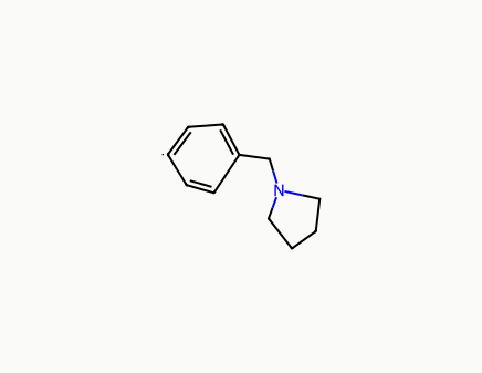 [c]1ccc(CN2CCCC2)cc1